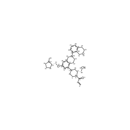 C=CC(=O)N1CCN(c2nc(OC[C@@H]3CCCN3C)cc3c2CCN(c2cccc4c2COCC4)C3)C[C@@H]1CC#N